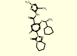 Cc1cn(C)nc1NC(=O)c1cc(F)c(-n2nc3n(c2=O)CCCC3)cc1O[C@@H](C)C1CCCCC1